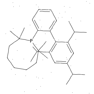 CC(C)c1cc(C(C)C)c(-c2ccccc2P2C(C)(C)CCCCCC2(C)C)c(C(C)C)c1